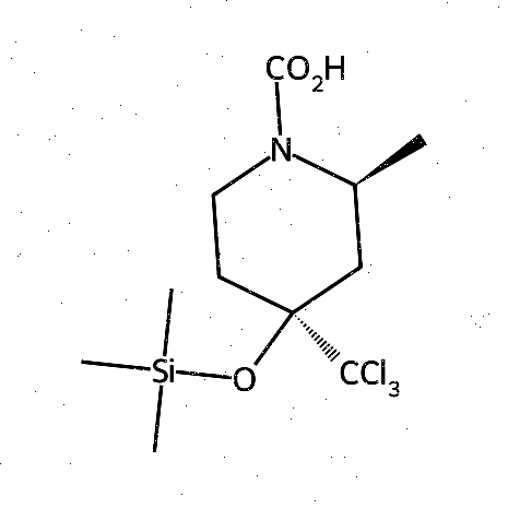 C[C@H]1C[C@](O[Si](C)(C)C)(C(Cl)(Cl)Cl)CCN1C(=O)O